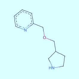 c1ccc(COCC2CCNC2)nc1